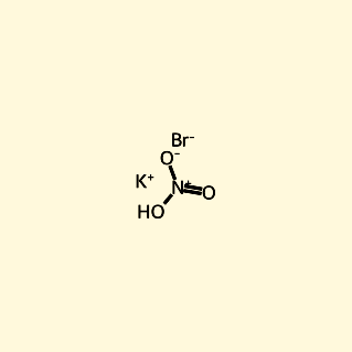 O=[N+]([O-])O.[Br-].[K+]